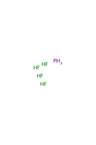 F.F.F.F.P